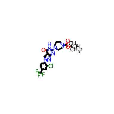 CC(C)(C)OC(=O)N1CCCN(c2nc3nn(-c4ccc(C(F)(F)F)cc4Cl)cc3c(=O)[nH]2)CC1